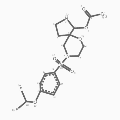 O=C(OC1NCCC12CN(S(=O)(=O)c1ccc(OC(F)F)cc1)CCO2)C(F)(F)F